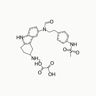 CS(=O)(=O)Nc1ccc(CCN(C=O)c2ccc3[nH]c4c(c3c2)CC(N)CC4)cc1.O=C(O)C(=O)O